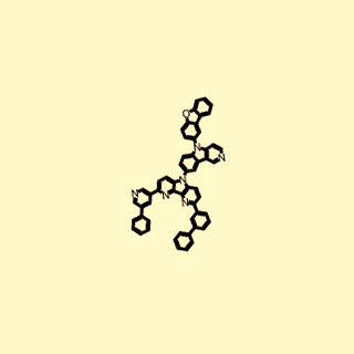 c1ccc(-c2cccc(-c3ccc4c(n3)c3nc(-c5cncc(-c6ccccc6)c5)ccc3n4-c3ccc4c(c3)c3cnccc3n4-c3ccc4oc5ccccc5c4c3)c2)cc1